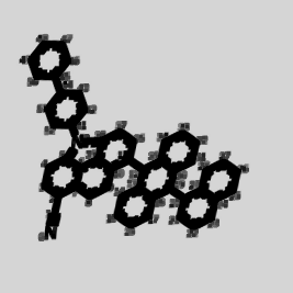 N#Cc1ccc2c3c1ccc1c(-c4c5ccccc5c(-c5cccc6ccccc56)c5ccccc45)ccc(c13)n2-c1ccc(-c2ccccc2)cc1